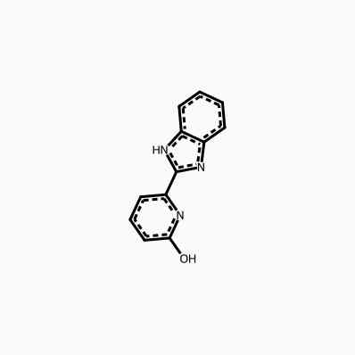 Oc1cccc(-c2nc3ccccc3[nH]2)n1